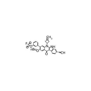 C#Cc1ccc2c(c1)[nH]c1c2c(=O)c2cc(OCCCC)c(-c3cccc(OS(=O)(=O)F)c3)cc2n1C1CN(C)C1